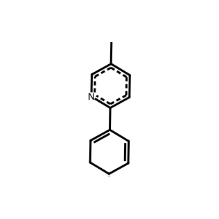 Cc1ccc(C2=CC[CH]C=C2)nc1